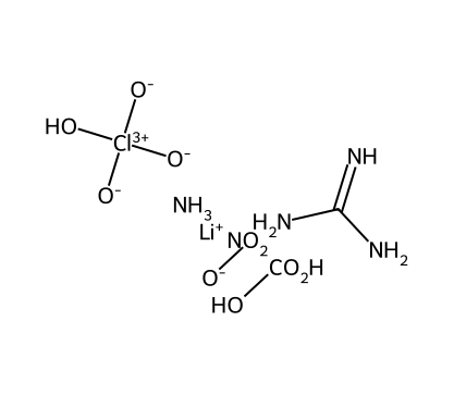 N.N=C(N)N.O=C(O)O.O=[N+]([O-])[O-].[Li+].[O-][Cl+3]([O-])([O-])O